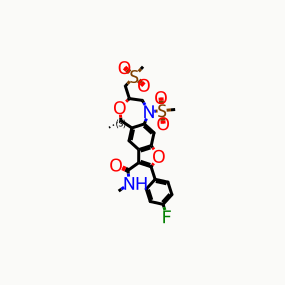 CNC(=O)c1c(-c2ccc(F)cc2)oc2cc3c(cc12)[C@H](C)OC(CS(C)(=O)=O)CN3S(C)(=O)=O